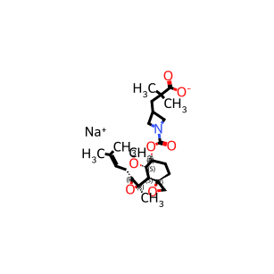 CO[C@@H]1[C@H](OC(=O)N2CC(CC(C)(C)C(=O)[O-])C2)CC[C@]2(CO2)[C@H]1[C@@]1(C)O[C@@H]1CC=C(C)C.[Na+]